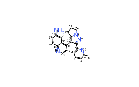 Cc1cccc(-c2nn3c(c2-c2ccnc4ccc(N)cc24)CCC3)n1